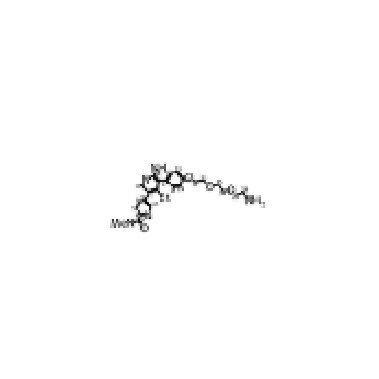 CCc1c(-c2ccc(C(=O)NC)nc2)cnc(N)c1-c1ccc(OCCOCCOCCN)cc1